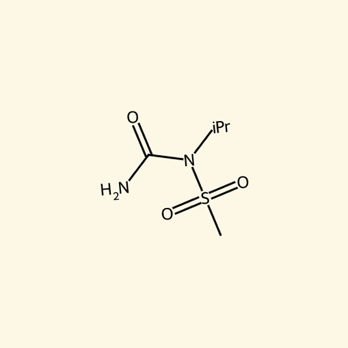 CC(C)N(C(N)=O)S(C)(=O)=O